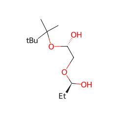 CC[C@H](O)OC[C@@H](O)OC(C)(C)C(C)(C)C